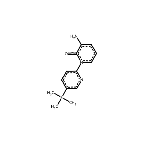 C[Si](C)(C)c1ccc(-n2cccc(N)c2=O)nc1